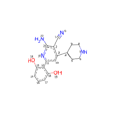 N#Cc1c(C2CCNCC2)cc(-c2c(O)cccc2O)nc1N